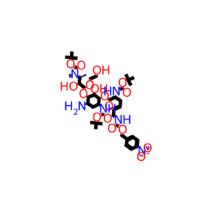 C[C@@H]([C@@H](O)[C@H](OCCO)O[C@@H]1[C@@H](O)[C@H](O[C@H]2OC(CNC(=O)OCc3ccc([N+](=O)[O-])cc3)=CC[C@H]2NC(=O)OC(C)(C)C)[C@@H](NC(=O)OC(C)(C)C)C[C@H]1N)N(C)C(=O)OC(C)(C)C